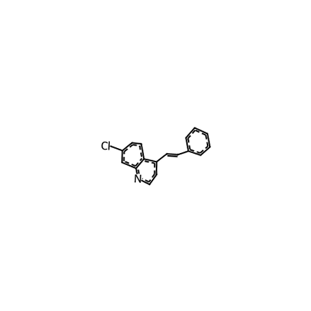 Clc1ccc2c(C=Cc3ccccc3)ccnc2c1